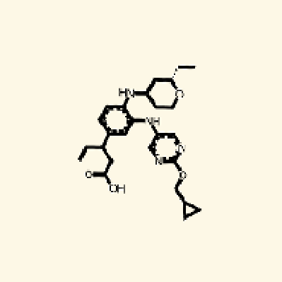 CCC(CC(=O)O)c1ccc(NC2CCO[C@@H](CC)C2)c(Nc2cnc(OCC3CC3)nc2)c1